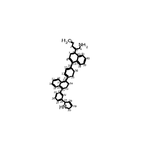 C=C/C=C(\CN)c1ccc(C2=CC=C(C3=c4ccccc4=C(c4cccc(C5C=CCN5)c4)CC3)CC2)c2ccccc12